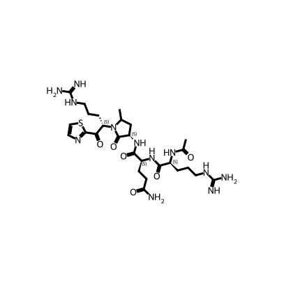 CC(=O)N[C@@H](CCCNC(=N)N)C(=O)N[C@@H](CCC(N)=O)C(=O)N[C@H]1CC(C)N([C@@H](CCCNC(=N)N)C(=O)c2nccs2)C1=O